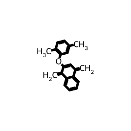 C=c1cc(Oc2cc(C)ccc2C)c(=C)c2ccccc12